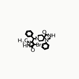 Cn1[nH]c(=O)c(Br)c1C(c1ccccc1)N1CCC2(CC1)C(=O)NCN2c1ccccc1